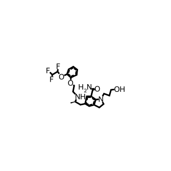 C[C@H](Cc1cc2c(c(C(N)=O)c1)N(CCCO)CC2)NCCOc1ccccc1OC(F)C(F)F